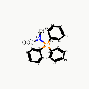 CCN(C(=O)[O-])[P+](c1ccccc1)(c1ccccc1)c1ccccc1